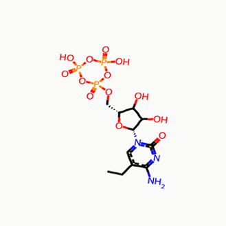 CCc1cn([C@@H]2O[C@H](COP3(=O)OP(=O)(O)OP(=O)(O)O3)C(O)C2O)c(=O)nc1N